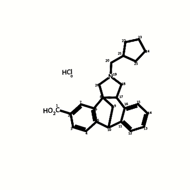 Cl.O=C(O)c1ccc2c(c1)C13CC2c2ccccc2C1CN(CC1CCCC1)C3